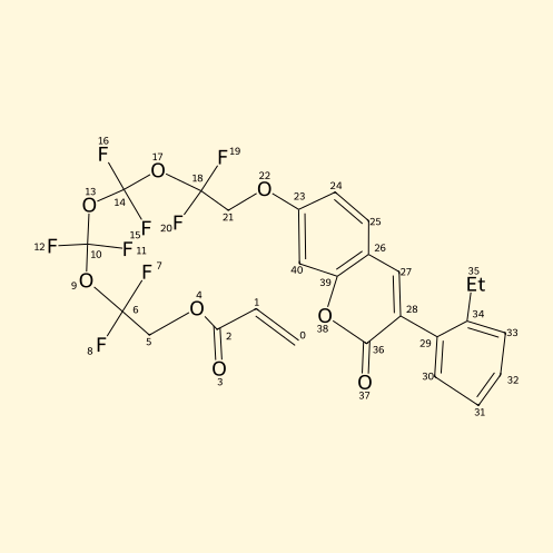 C=CC(=O)OCC(F)(F)OC(F)(F)OC(F)(F)OC(F)(F)COc1ccc2cc(-c3ccccc3CC)c(=O)oc2c1